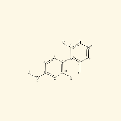 COc1ccc(-c2c(C)cnnc2C)c(C)c1